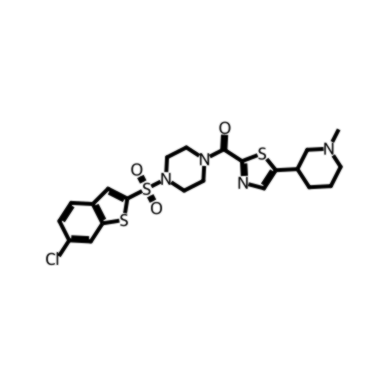 CN1CCCC(c2cnc(C(=O)N3CCN(S(=O)(=O)c4cc5ccc(Cl)cc5s4)CC3)s2)C1